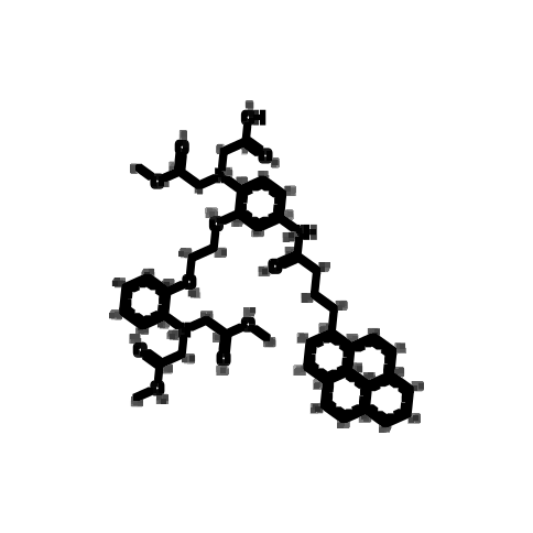 COC(=O)CN(CC(=O)O)c1ccc(NC(=O)CCCc2ccc3ccc4cccc5ccc2c3c45)cc1OCCOc1ccccc1N(CC(=O)OC)CC(=O)OC